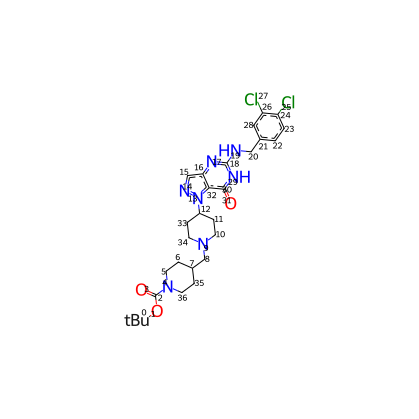 CC(C)(C)OC(=O)N1CCC(CN2CCC(n3ncc4nc(NCc5ccc(Cl)c(Cl)c5)[nH]c(=O)c43)CC2)CC1